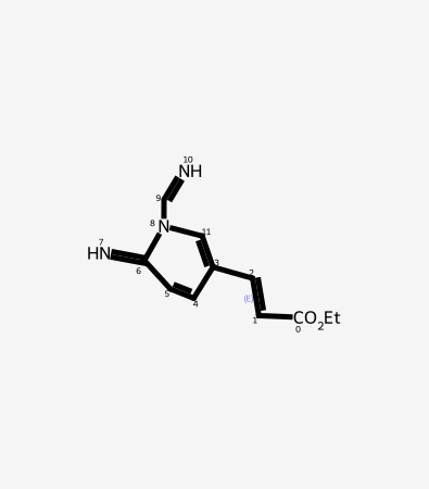 CCOC(=O)/C=C/c1ccc(=N)n(C=N)c1